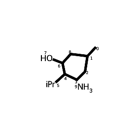 CC1CCC(C(C)C)C(O)C1.N